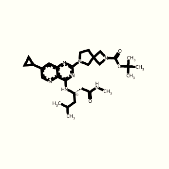 CNC(=O)C[C@H](CC(C)C)Nc1nc(N2CCC3(CN(C(=O)OC(C)(C)C)C3)C2)nc2cc(C3CC3)cnc12